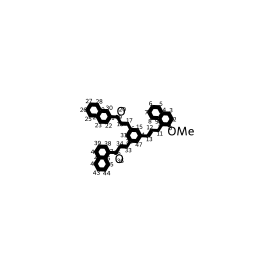 COc1ccc2ccccc2c1C/C=C/c1cc(/C=C/C(=O)c2ccc3ccccc3c2)cc(/C=C/C(=O)c2cccc3ccccc23)c1